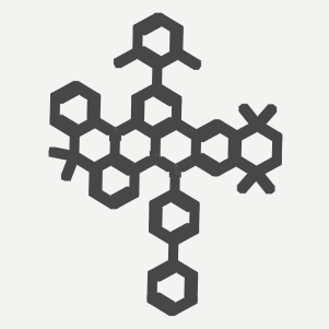 Cc1cccc(C)c1-c1cc2c3c(c1)N1c4ccccc4C(C)(C)c4cccc(c41)B3N(c1ccc(-c3ccccc3)cc1)c1cc3c(cc1-2)C(C)(C)CCC3(C)C